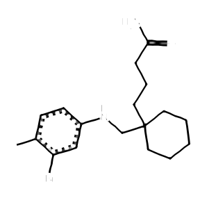 NC(=O)CCCC1(CNc2ccc(F)c(Br)c2)CCCCC1